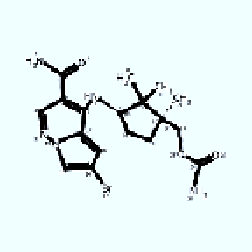 CC1(C)[C@H](Nc2c(C(N)=O)cnn3cc(Br)cc23)CC[C@]1(C)COC(N)=O